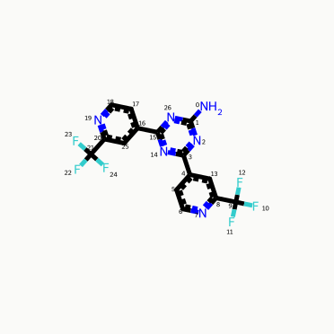 Nc1nc(-c2ccnc(C(F)(F)F)c2)nc(-c2ccnc(C(F)(F)F)c2)n1